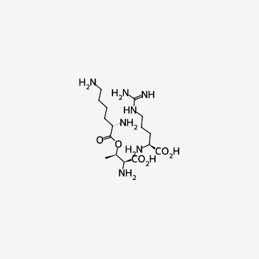 C[C@@H](OC(=O)[C@@H](N)CCCCN)[C@H](N)C(=O)O.N=C(N)NCCC[C@H](N)C(=O)O